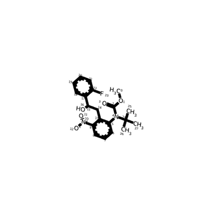 COC(=O)N(c1cccc([N+](=O)[O-])c1CC(O)c1ccccc1F)C(C)(C)C